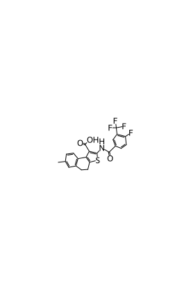 Cc1ccc2c(c1)CCc1sc(NC(=O)c3ccc(F)c(C(F)(F)F)c3)c(C(=O)O)c1-2